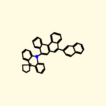 c1ccc2c(c1)N(c1cc3cc(-c4ccc5ccccc5c4)c4ccccc4c3c3ccccc13)c1ccccc1[Si]21CCCC1